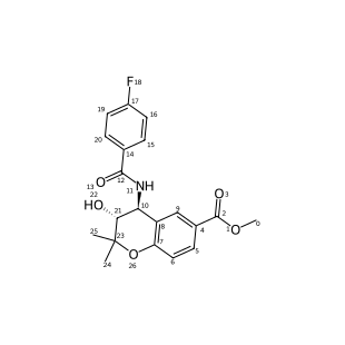 COC(=O)c1ccc2c(c1)[C@H](NC(=O)c1ccc(F)cc1)[C@@H](O)C(C)(C)O2